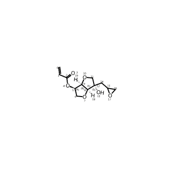 C=CC(=O)O[C@@H]1CO[C@H]2[C@@H]1OC[C@@]2(O)CC1CO1